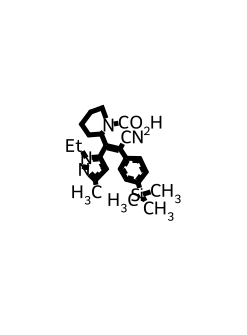 CCn1nc(C)cc1/C(=C(/C#N)c1ccc([Si](C)(C)C)cc1)C1CCCCN1C(=O)O